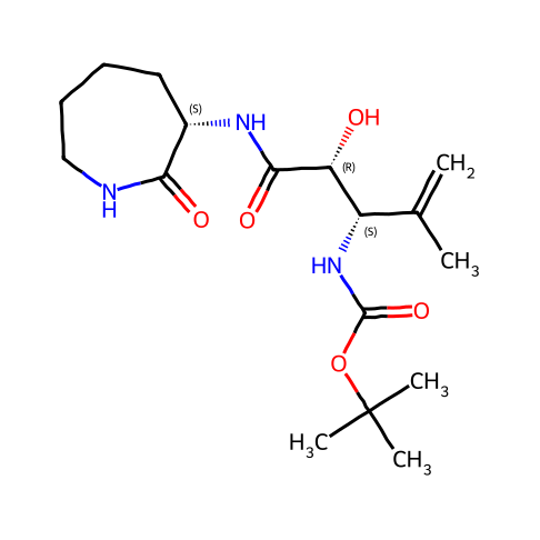 C=C(C)[C@H](NC(=O)OC(C)(C)C)[C@@H](O)C(=O)N[C@H]1CCCCNC1=O